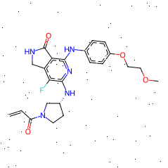 C=CC(=O)N1CC[C@@H](Nc2nc(Nc3ccc(OCCOC)cc3)c3c(c2F)CNC3=O)C1